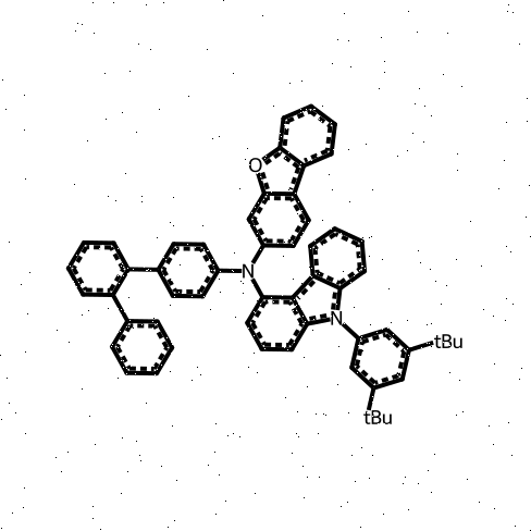 CC(C)(C)c1cc(-n2c3ccccc3c3c(N(c4ccc(-c5ccccc5-c5ccccc5)cc4)c4ccc5c(c4)oc4ccccc45)cccc32)cc(C(C)(C)C)c1